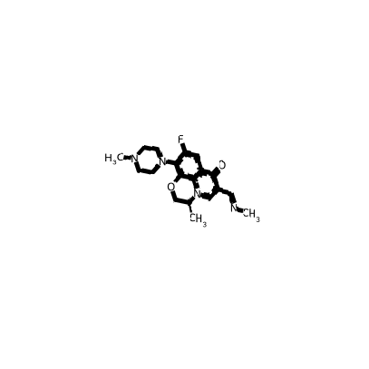 C/N=C/c1cn2c3c(c(N4CCN(C)CC4)c(F)cc3c1=O)OC[C@@H]2C